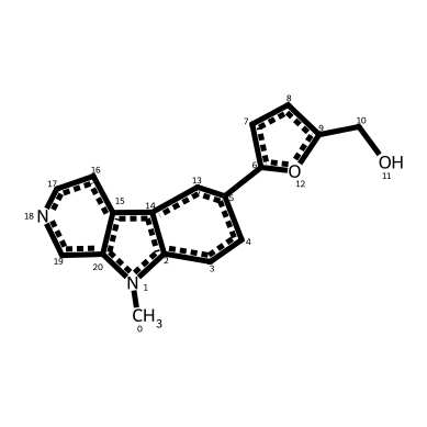 Cn1c2ccc(-c3ccc(CO)o3)cc2c2ccncc21